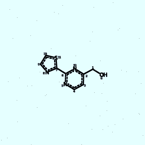 OCc1ccnc(-c2nccs2)n1